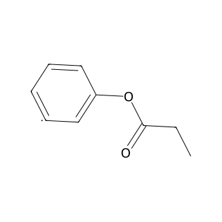 CCC(=O)Oc1c[c]ccc1